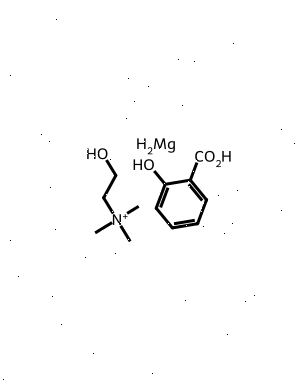 C[N+](C)(C)CCO.O=C(O)c1ccccc1O.[MgH2]